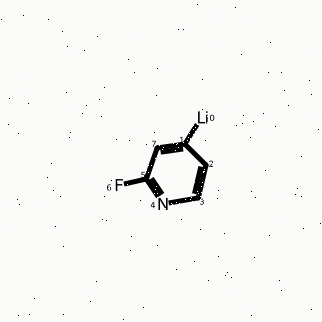 [Li][c]1ccnc(F)c1